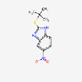 CC(C)(C)Sc1nc2cc([N+](=O)[O-])ccc2[nH]1